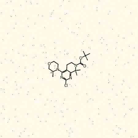 C[C@H]1COCCN1c1nc(Cl)nc2c1CCN(C(=O)OC(C)(C)C)C2(C)C